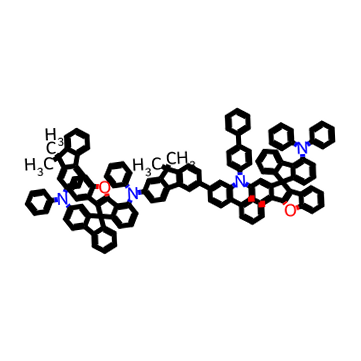 CC1(C)c2ccccc2-c2ccc(N(c3ccccc3)c3ccc4c(c3)C3(c5ccccc5-4)c4cccc(N(c5ccccc5)c5ccc6c(c5)C(C)(C)c5ccc(-c7ccc(-c8ccccc8)c(N(c8ccc(-c9ccccc9)cc8)c8ccc9c(c8)C8(c%10ccccc%10-c%10c(N(c%11ccccc%11)c%11ccccc%11)cccc%108)c8c-9oc9ccccc89)c7)cc5-6)c4-c4oc5ccccc5c43)cc21